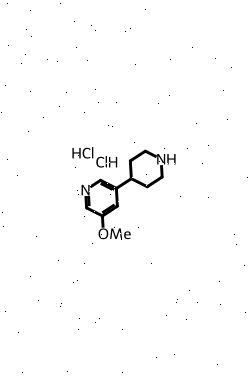 COc1cncc(C2CCNCC2)c1.Cl.Cl